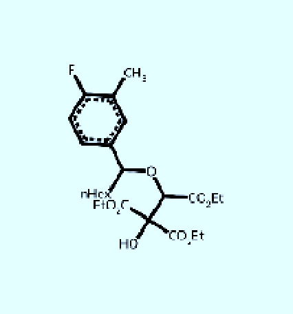 CCCCCCC(OC(C(=O)OCC)C(O)(C(=O)OCC)C(=O)OCC)c1ccc(F)c(C)c1